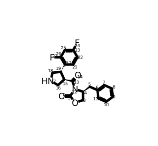 O=C1OC[C@H](Cc2ccccc2)N1C(=O)[C@H]1CNC[C@@H]1c1ccc(F)cc1F